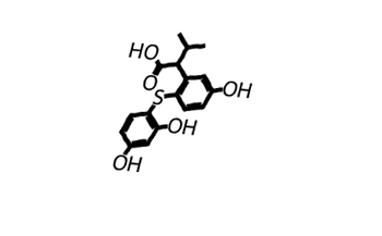 CC(C)C(C(=O)O)c1cc(O)ccc1Sc1ccc(O)cc1O